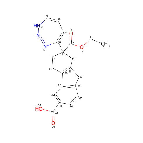 CCOC(=O)C1(C2=CC=CNN=N2)C=CC2=C(Cc3ccc(C(=O)O)cc32)C1